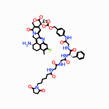 CC[C@@]1(OC(=O)OCc2ccc(NC(=O)CNC(=O)[C@H](Cc3ccccc3)NC(=O)CNC(=O)CNC(=O)CCCCCN3C(=O)CCC3=O)cc2)C(=O)OCc2c1cc1n(c2=O)Cc2c-1nc1cc(F)c(C)c3c1c2[C@@H](N)CC3